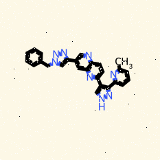 Cc1cccc(-c2n[nH]cc2-c2ccc3ncc(-c4cn(Cc5ccccc5)nn4)cc3n2)n1